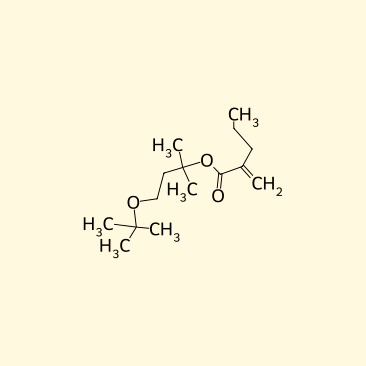 C=C(CCC)C(=O)OC(C)(C)CCOC(C)(C)C